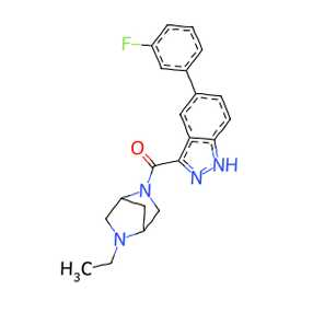 CCN1CC2CC1CN2C(=O)c1n[nH]c2ccc(-c3cccc(F)c3)cc12